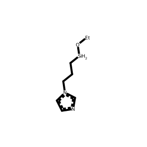 CCO[SiH2]CCCn1ccnc1